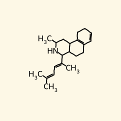 CC(C)=C/C=C(\C)C1NC(C)CC2C3=C(C=CCC3)CCC21